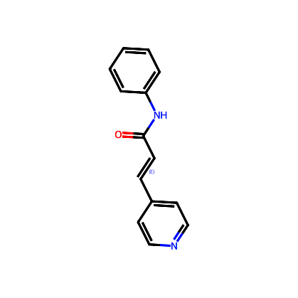 O=C(/C=C/c1ccncc1)Nc1ccccc1